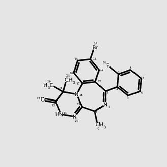 CC1N=C(c2ccccc2F)c2cc(Br)ccc2N2C1=NNC(=O)C2(C)C